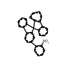 O=[N+]([O-])c1ccccc1-c1ccc2c(c1)C1(c3ccccc3-c3ccccc31)c1ccccc1-2